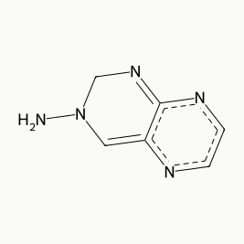 NN1C=c2nccnc2=NC1